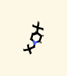 CC(C)(C)CN1CC=C(C(C)(C)C)CC1